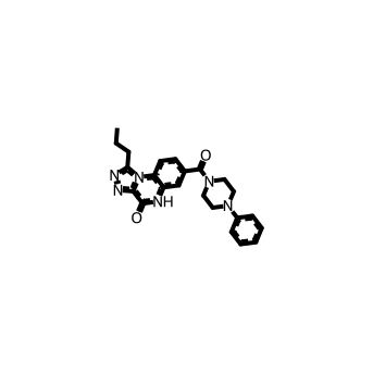 CCCc1nnc2c(=O)[nH]c3cc(C(=O)N4CCN(c5ccccc5)CC4)ccc3n12